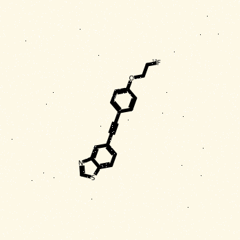 [18F]CCOc1ccc(C#Cc2ccc3scnc3c2)cc1